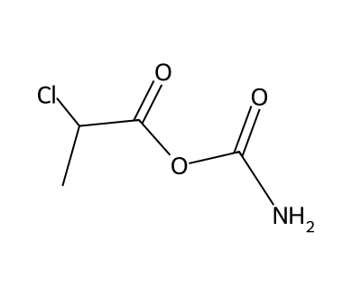 CC(Cl)C(=O)OC(N)=O